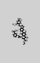 CCOC(=O)c1cn(C2CC2)c2c(F)c(-c3ccc4c(c3)CCN4Cc3cnc(N)nc3N)c(F)cc2c1=O.O=C(O)c1cccnc1